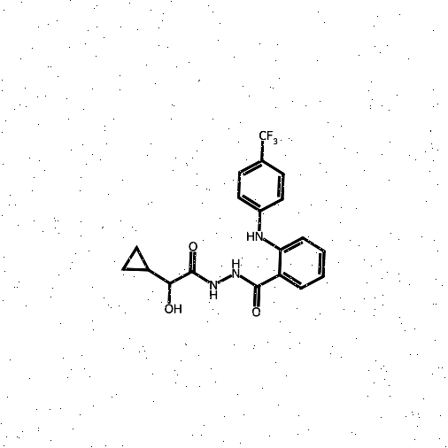 O=C(NNC(=O)C(O)C1CC1)c1ccccc1Nc1ccc(C(F)(F)F)cc1